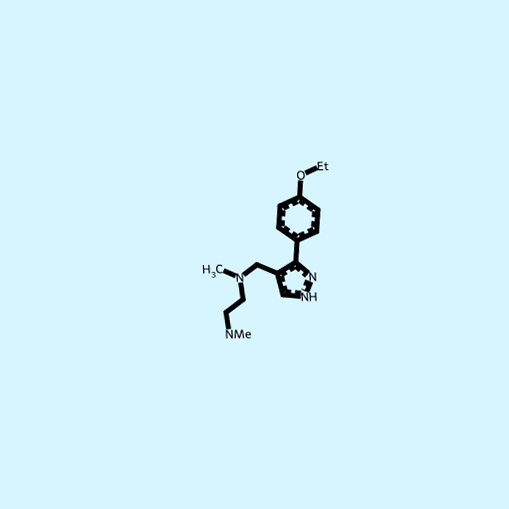 CCOc1ccc(-c2n[nH]cc2CN(C)CCNC)cc1